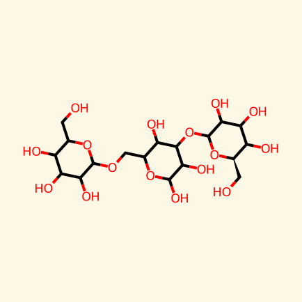 OCC1OC(OCC2OC(O)C(O)C(OC3O[C@H](CO)C(O)C(O)C3O)C2O)C(O)C(O)C1O